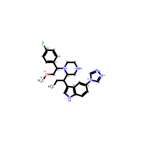 CCC(c1c[nH]c2ccc(-n3cnnc3)cc12)C1CNCCN1C(COC)c1ccc(F)cc1